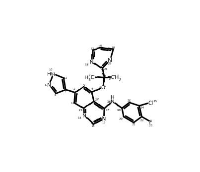 CC(C)(Oc1cc(-c2cn[nH]c2)cc2ncnc(Nc3ccc(F)c(Cl)c3)c12)c1ncccn1